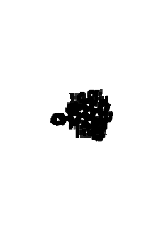 Oc1c(O)c(O)c2c(-c3cccc4oc5cc6ccccc6cc5c34)c3c(O)c(O)c(O)c(O)c3c(-c3ccc(-c4ccccc4)c4ccccc34)c2c1O